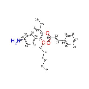 CCCCCCOC(=C(OC(=O)C=Cc1ccccc1)C(C)CC)c1ccc(N)cc1